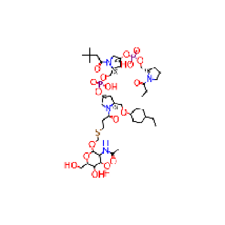 CCC(=O)N1CCC[C@H]1COP(=O)(O)O[C@@H]1C[C@@H](COP(=O)(O)O[C@@H]2C[C@@H](COC3CCC(CC)CC3)N(C(=O)CCSCOC3OC(CO)C(O)C(O)C3NC(C)=O)C2)N(C(=O)CC(C)(C)C)C1